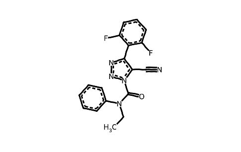 CCN(C(=O)n1nnc(-c2c(F)cccc2F)c1C#N)c1ccccc1